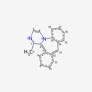 CC1=NC=CN2C1=c1ccccc1=Cc1ccccc12